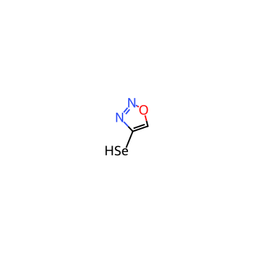 [SeH]c1conn1